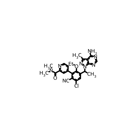 CCOc1c(C(C)n2nc(C)c3c(N)ncnc32)cc(Cl)c(C#N)c1-c1ccnc(C(=O)N(C)C)c1